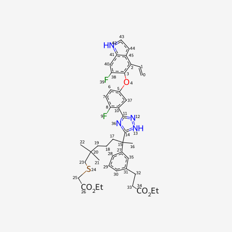 C=Cc1c(Oc2ccc(F)c(-c3n[nH]c(C(C)(CCCC(C)(C)CSCC(=O)OCC)c4cccc(CCC(=O)OCC)c4)n3)c2)c(F)cc2[nH]ccc12